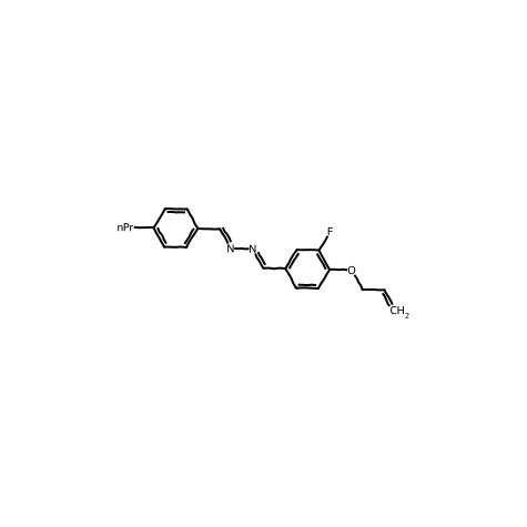 C=CCOc1ccc(C=NN=Cc2ccc(CCC)cc2)cc1F